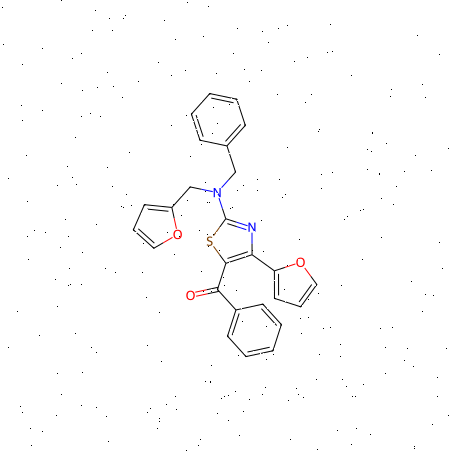 O=C(c1ccccc1)c1sc(N(Cc2ccccc2)Cc2ccco2)nc1-c1ccco1